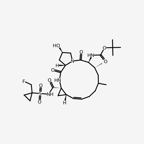 CC1CC/C=C\[C@@H]2C[C@@]2(C(=O)NS(=O)(=O)C2(CF)CC2)NC(=O)[C@@H]2C[C@@H](O)CN2C(=O)[C@@H](NC(=O)OC(C)(C)C)[C@H](C)C1